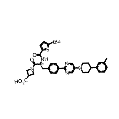 Cc1cccc(C2CCN(c3cnc(-c4ccc(C[C@H](NC(=O)c5ccc(C(C)(C)C)s5)C(=O)N5CC(C(=O)O)C5)cc4)nc3)CC2)c1